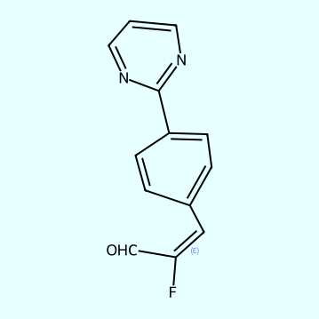 O=C/C(F)=C\c1ccc(-c2ncccn2)cc1